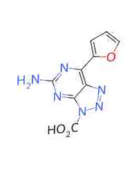 Nc1nc(-c2ccco2)c2nnn(C(=O)O)c2n1